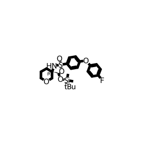 CC(C)(C)[Si](C)(C)OC[C@@]1(NS(=O)(=O)c2ccc(Oc3ccc(F)cc3)cc2)CCCOC1